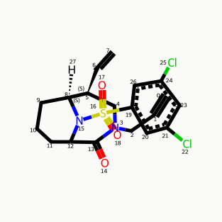 C#CCN1C[C@H](C=C)[C@@H]2CCCC(C1=O)N2S(=O)(=O)c1cc(Cl)cc(Cl)c1